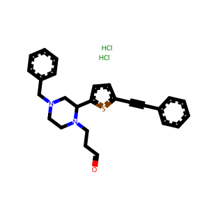 Cl.Cl.O=CCCN1CCN(Cc2ccccc2)CC1c1ccc(C#Cc2ccccc2)s1